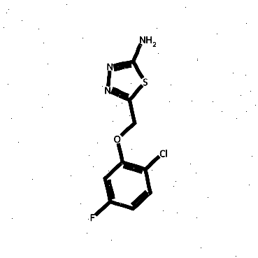 Nc1nnc(COc2cc(F)ccc2Cl)s1